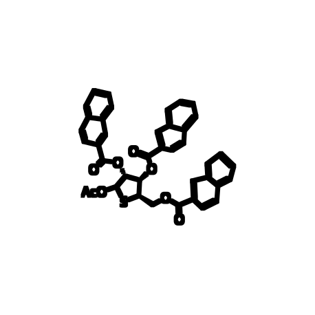 CC(=O)OC1S[C@H](COC(=O)c2ccc3ccccc3c2)[C@H](OC(=O)c2ccc3ccccc3c2)[C@H]1OC(=O)c1ccc2ccccc2c1